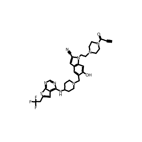 C#CC(=O)N1CCN(CCn2c(C#N)cc3cc(CN4CCC(Nc5ncnc6sc(CC(F)(F)F)cc56)CC4)c(O)cc32)CC1